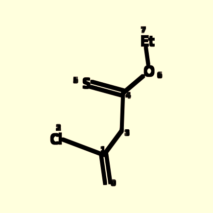 C=C(Cl)CC(=S)OCC